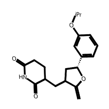 C=C1O[C@@H](c2cccc(OC(C)C)c2)CC1CC1CCC(=O)NC1=O